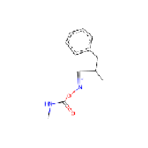 CNC(=O)O/N=C/C(C)Cc1ccccc1